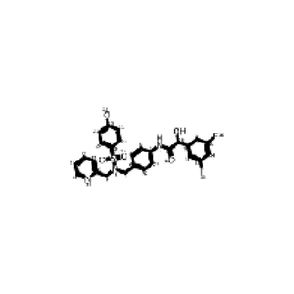 O=C(Nc1ccc(CN(Cc2ccccn2)S(=O)(=O)c2ccc(Cl)cc2)cc1)C(O)C1C=C(F)C=C(F)C1